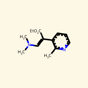 CCOC(=O)C(=CN(C)C)c1cccnc1C